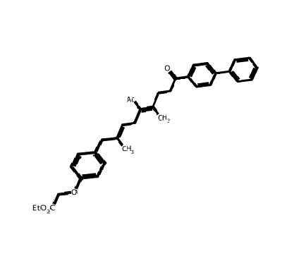 CCOC(=O)COc1ccc(C/C(C)=C/C/C(C(C)=O)=C(\C)CCC(=O)c2ccc(-c3ccccc3)cc2)cc1